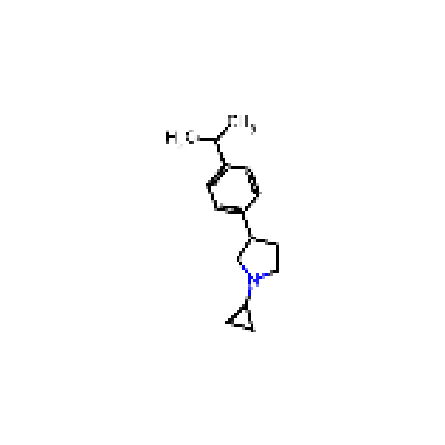 CC(C)c1ccc(C2CCN(C3CC3)C2)cc1